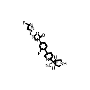 N#C[C@]1(c2ccc(-c3ccc(N4C[C@H](Cn5cc(F)nn5)OC4=O)cc3F)cn2)[C@@H]2CNC[C@@H]21